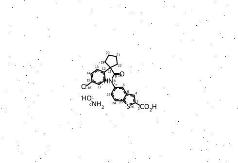 NO.O=C(O)c1cc2cc(NC(=O)C3(c4ccc(Cl)cc4)CCCC3)ccc2s1